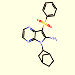 Nc1c(S(=O)(=O)c2ccccc2)c2nccnc2n1C1CC2CCC1C2